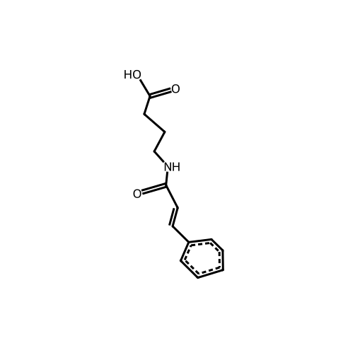 O=C(O)CCCNC(=O)/C=C/c1ccccc1